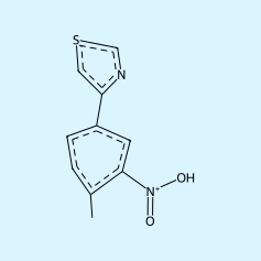 Cc1ccc(-c2cscn2)cc1[N+](=O)O